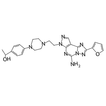 CC(O)c1ccc(N2CCN(CCn3ncc4c3nc(N)n3nc(-c5ccco5)nc43)CC2)cc1